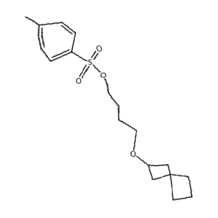 Cc1ccc(S(=O)(=O)OCCCCOC2CC3(CCC3)C2)cc1